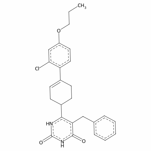 CCCOc1ccc(C2=CCC(c3[nH]c(=O)[nH]c(=O)c3Cc3ccccc3)CC2)c(Cl)c1